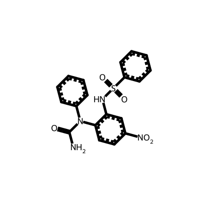 NC(=O)N(c1ccccc1)c1ccc([N+](=O)[O-])cc1NS(=O)(=O)c1ccccc1